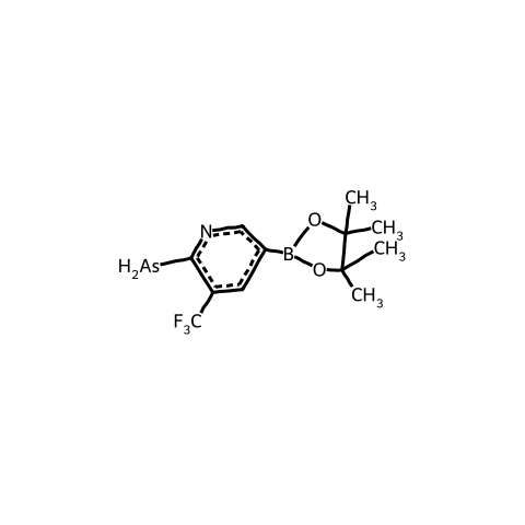 CC1(C)OB(c2cnc([AsH2])c(C(F)(F)F)c2)OC1(C)C